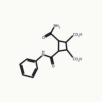 NC(=O)C1C(C(=O)O)C(C(=O)O)C1C(=O)Nc1ccccc1